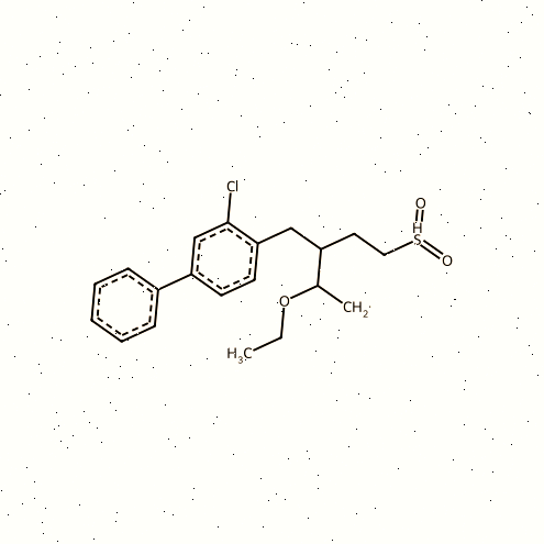 [CH2]C(OCC)C(CC[SH](=O)=O)Cc1ccc(-c2ccccc2)cc1Cl